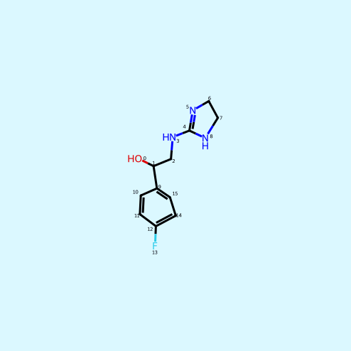 OC(CNC1=NCCN1)c1ccc(F)cc1